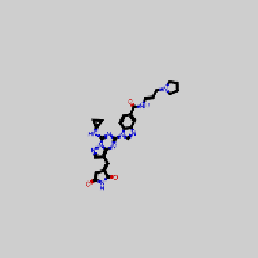 O=C1C/C(=C\c2cnn3c(NC4CC4)nc(-n4cnc5cc(C(=O)NCCCN6CCCC6)ccc54)nc23)C(=O)N1